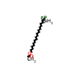 C=CC(=O)OCCCCCCCCCCCCCCCCCCCCC(F)(F)[SiH3]